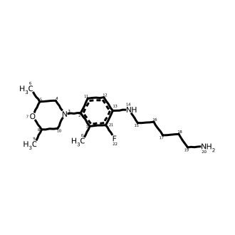 Cc1c(N2CC(C)OC(C)C2)ccc(NCCCCCN)c1F